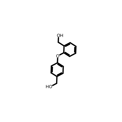 OCc1ccc(Oc2ccccc2CO)cc1